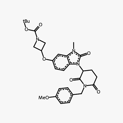 COc1ccc(CN2C(=O)CCC(n3c(=O)n(C)c4cc(OC5CN(C(=O)OC(C)(C)C)C5)ccc43)C2=O)cc1